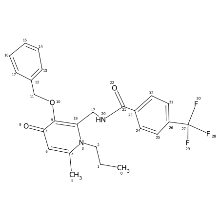 CCCn1c(C)cc(=O)c(OCc2ccccc2)c1CNC(=O)c1ccc(C(F)(F)F)cc1